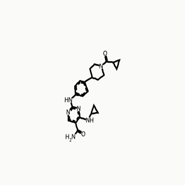 NC(=O)c1cnc(Nc2ccc(C3CCN(C(=O)C4CC4)CC3)cc2)nc1NC1CC1